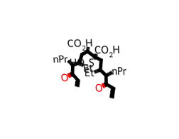 C=CC(=O)C(CCC)C(CC)CC(C(=O)O)C(CC(CC)C(CCC)C(=O)C=C)(C(=O)O)S(=O)(=O)O